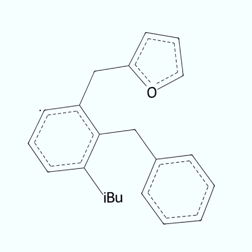 CCC(C)c1cc[c]c(Cc2ccco2)c1Cc1ccccc1